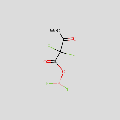 COC(=O)C(F)(F)C(=O)OB(F)F